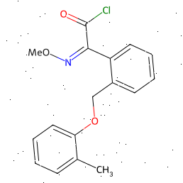 CON=C(C(=O)Cl)c1ccccc1COc1ccccc1C